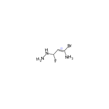 NNC(F)/C=C(\N)Br